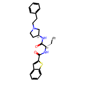 CC(C)C[C@H](NC(=O)c1cc2ccccc2s1)C(=O)N[C@H]1CCN(CCc2ccccc2)C1